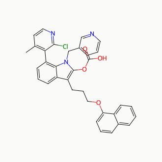 Cc1ccnc(Cl)c1-c1cccc2c(CCCOc3cccc4ccccc34)c(OC(=O)O)n(Cc3cccnc3)c12